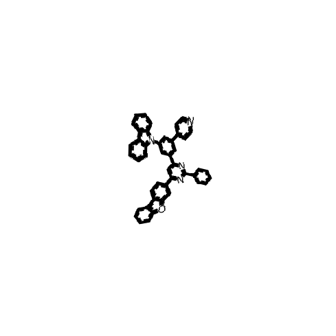 c1ccc(-c2nc(-c3cc(-c4ccncc4)cc(-n4c5ccccc5c5ccccc54)c3)cc(-c3ccc4c(c3)oc3ccccc34)n2)cc1